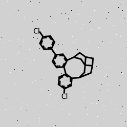 Clc1ccc(-c2ccc3c(c2)C2CC4CC5CC(CC54C2)c2cc(Cl)ccc2-3)cc1